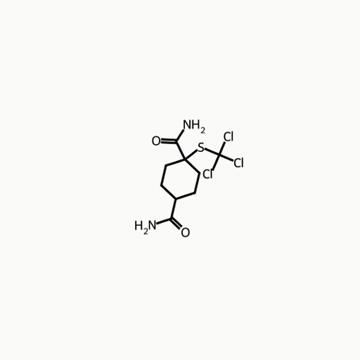 NC(=O)C1CCC(SC(Cl)(Cl)Cl)(C(N)=O)CC1